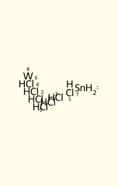 Cl.Cl.Cl.Cl.Cl.Cl.Cl.[SnH2].[W]